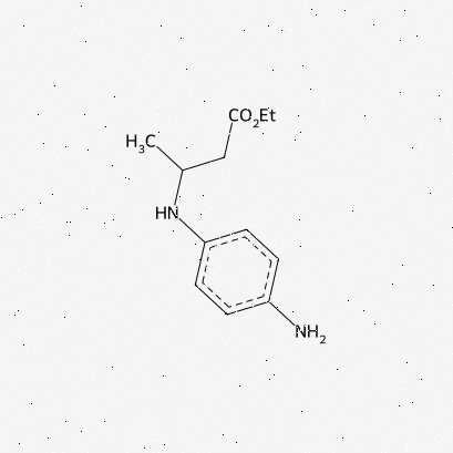 CCOC(=O)CC(C)Nc1ccc(N)cc1